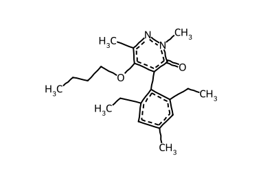 CCCCOc1c(C)nn(C)c(=O)c1-c1c(CC)cc(C)cc1CC